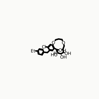 CCc1ccc(Cc2cc3c(cc2Cl)OCCCOC[C@H]2O[C@@H]3[C@H](O)[C@@H](O)[C@@H]2O)cc1